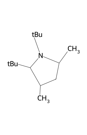 CC1CC(C)N(C(C)(C)C)C1C(C)(C)C